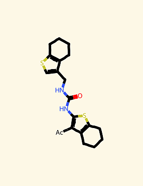 CC(=O)c1c(NC(=O)NCc2csc3c2CCCC3)sc2c1CCCC2